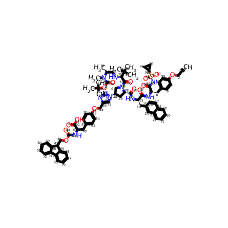 C#CCOc1ccc(C[C@H](NC(=O)[C@H](Cc2ccc3ccccc3c2)NC(=O)[C@@H]2C[C@H](n3cc(COc4ccc(CC(NC(=O)OCC5c6ccccc6-c6ccccc65)C(=O)O)cc4)nn3)CN2C(=O)[C@@H](NC[C@H](C)N(C)C(=O)OC(C)(C)C)C(C)(C)C)C(=O)NS(=O)(=O)C2CC2)cc1